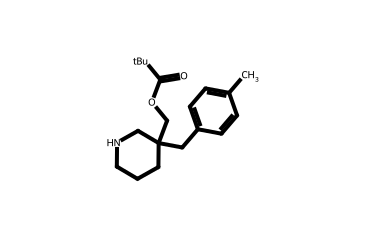 Cc1ccc(CC2(COC(=O)C(C)(C)C)CCCNC2)cc1